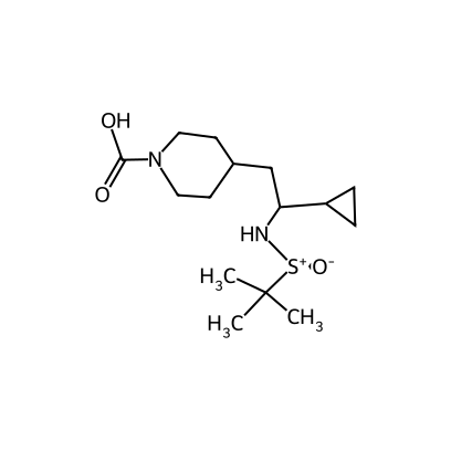 CC(C)(C)[S@+]([O-])NC(CC1CCN(C(=O)O)CC1)C1CC1